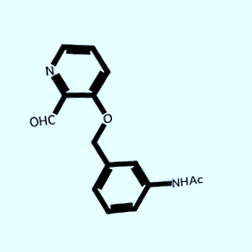 CC(=O)Nc1cccc(COc2cccnc2C=O)c1